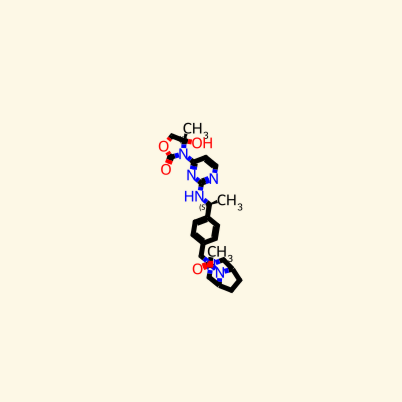 CC(=O)N1C2CCC1CN(Cc1ccc([C@H](C)Nc3nccc(N4C(=O)OC[C@]4(C)O)n3)cc1)C2